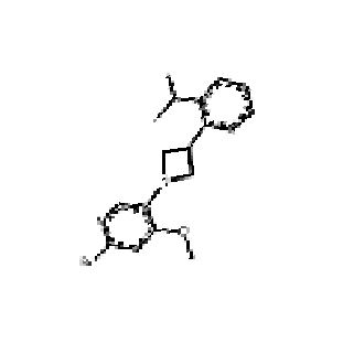 COc1cc(Br)ncc1N1CC(c2ccccc2C(C)C)C1